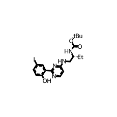 CC[C@H](CNc1ccnc(-c2cc(I)ccc2O)n1)NC(=O)OC(C)(C)C